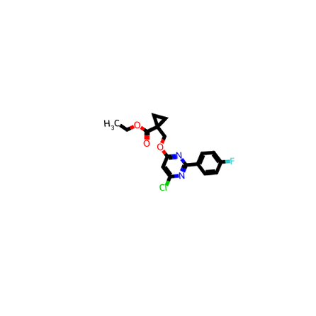 CCOC(=O)C1(COc2cc(Cl)nc(-c3ccc(F)cc3)n2)CC1